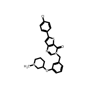 CN1CCCC(Oc2cccc(Cn3cnc4cc(-c5ccc(Cl)cc5)sc4c3=O)c2)C1